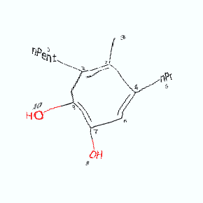 CCCCCc1c(C)c(CCC)cc(O)c1O